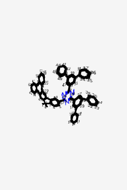 CC1(C)c2ccc(-c3nc(-c4cc(-c5ccccc5)cc(-c5ccccc5)c4)nc(-c4cc(-c5ccccc5)cc(-c5ccccc5)c4)n3)cc2-c2cc3c4ccccc4c4ccccc4c3cc21